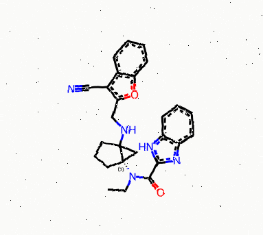 CCN(C(=O)c1nc2ccccc2[nH]1)[C@]12CCCC1(NCc1oc3ccccc3c1C#N)C2